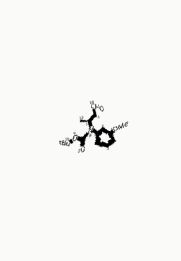 COc1cccc(N(C(=O)OC(C)(C)C)[C@@H](C)CC=O)c1